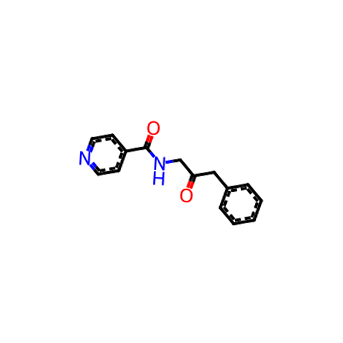 O=C(CNC(=O)c1ccncc1)Cc1ccccc1